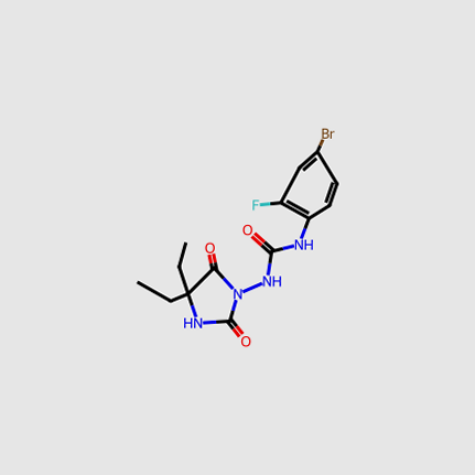 CCC1(CC)NC(=O)N(NC(=O)Nc2ccc(Br)cc2F)C1=O